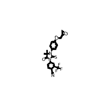 CC1(C)C(=O)N(c2ccc(C#N)c(C(F)(F)F)c2)C(=S)N1c1ccc(OCC2CO2)cc1